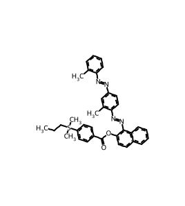 CCCS(C)(C)c1ccc(C(=O)Oc2ccc3ccccc3c2/N=N/c2ccc(/N=N/c3ccccc3C)cc2C)cc1